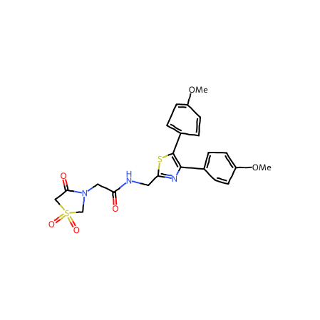 COc1ccc(-c2nc(CNC(=O)CN3CS(=O)(=O)CC3=O)sc2-c2ccc(OC)cc2)cc1